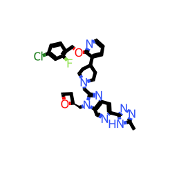 Cc1nnc(-c2cc3nc(CN4CCC(c5cccnc5OCc5ccc(Cl)cc5F)CC4)n(C[C@@H]4CCO4)c3cn2)[nH]1